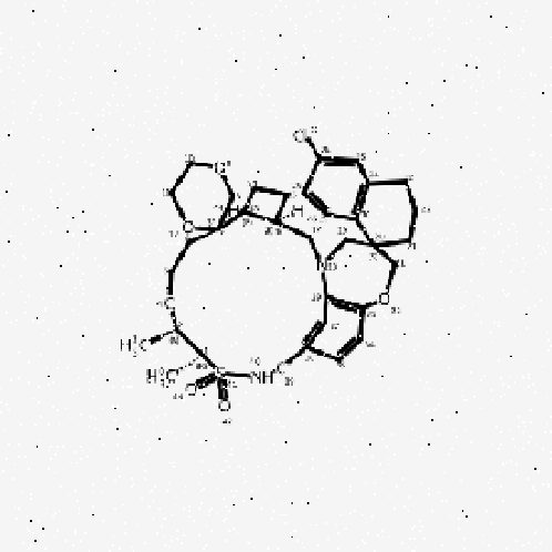 C[C@@H]1[C@@H](C)CCC[C@@]2(COCCO2)[C@@H]2CC[C@H]2CN2C[C@@]3(CCCc4cc(Cl)ccc43)COc3ccc(cc32)CNS1(=O)=O